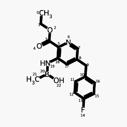 CCOC(=O)c1ncc(Cc2ccc(F)cc2)cc1NB(C)O